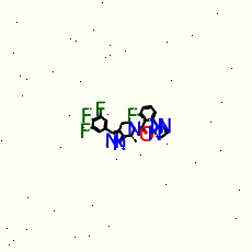 C[C@H]1c2nn(C)c(-c3cc(F)c(F)c(F)c3)c2CCN1C(=O)c1c(F)cccc1-n1nccn1